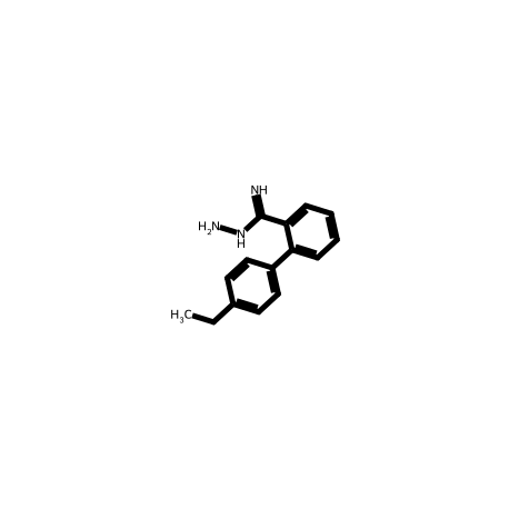 CCc1ccc(-c2ccccc2C(=N)NN)cc1